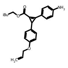 C=CCOc1ccc(C2C(C(=O)OCC(C)CC)=C2c2ccc(N)cc2)cc1